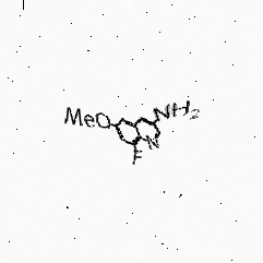 COc1cc(F)c2ncc(N)cc2c1